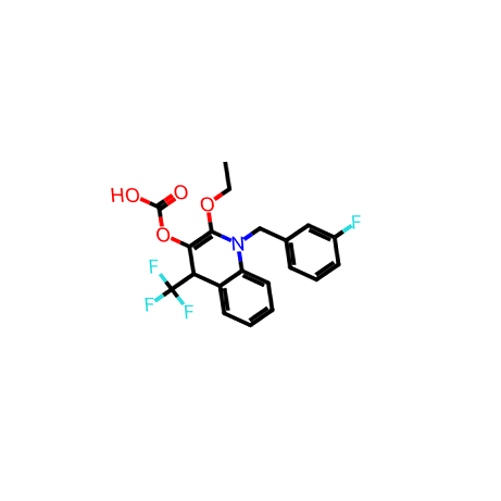 CCOC1=C(OC(=O)O)C(C(F)(F)F)c2ccccc2N1Cc1cccc(F)c1